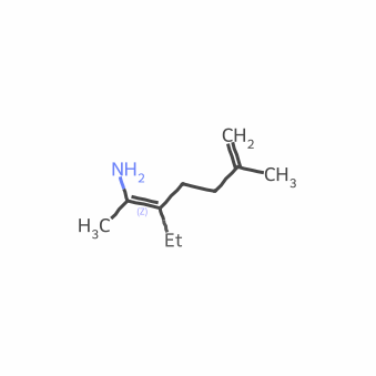 C=C(C)CC/C(CC)=C(/C)N